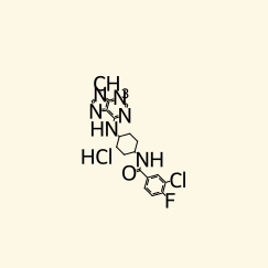 Cl.Cn1cnc2c(N[C@H]3CC[C@@H](NC(=O)c4ccc(F)c(Cl)c4)CC3)ncnc21